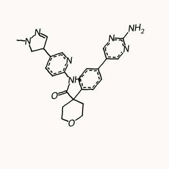 CN1CC(c2ccc(NC(=O)C3(c4ccc(-c5cnc(N)nc5)cc4)CCOCC3)nc2)C=N1